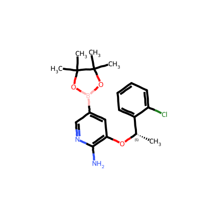 C[C@H](Oc1cc(B2OC(C)(C)C(C)(C)O2)cnc1N)c1ccccc1Cl